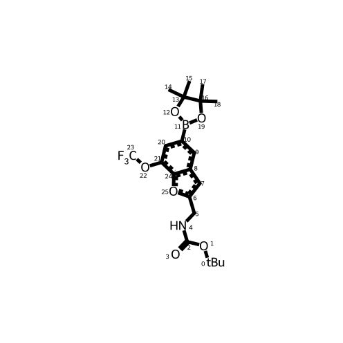 CC(C)(C)OC(=O)NCc1cc2cc(B3OC(C)(C)C(C)(C)O3)cc(OC(F)(F)F)c2o1